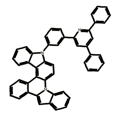 c1ccc(-c2cc(-c3ccccc3)nc(-c3cccc(-n4c5ccccc5c5c6c7ccccc7c7cc8ccccc8n7c6ccc54)c3)c2)cc1